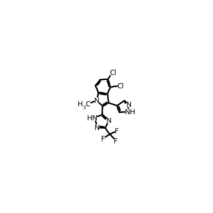 Cn1c(-c2nc(C(F)(F)F)n[nH]2)c(-c2cn[nH]c2)c2c(Cl)c(Cl)ccc21